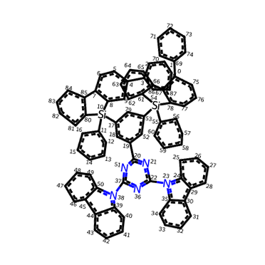 c1ccc(-c2ccc3c(c2)[Si](c2ccccc2)(c2cc(-c4nc(-n5c6ccccc6c6ccccc65)nc(-n5c6ccccc6c6ccccc65)n4)cc([Si]4(c5ccccc5)c5ccccc5-c5c(-c6ccccc6)cccc54)c2)c2ccccc2-3)cc1